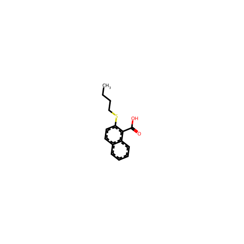 CCCCSc1ccc2ccccc2c1C(=O)O